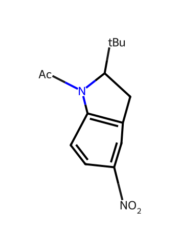 CC(=O)N1c2ccc([N+](=O)[O-])cc2CC1C(C)(C)C